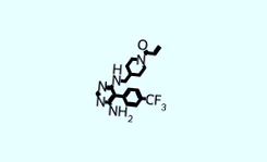 C=CC(=O)N1CCC(CNc2ncnc(N)c2-c2ccc(C(F)(F)F)cc2)CC1